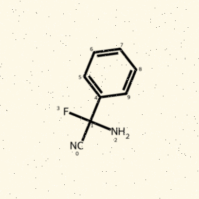 N#CC(N)(F)c1ccccc1